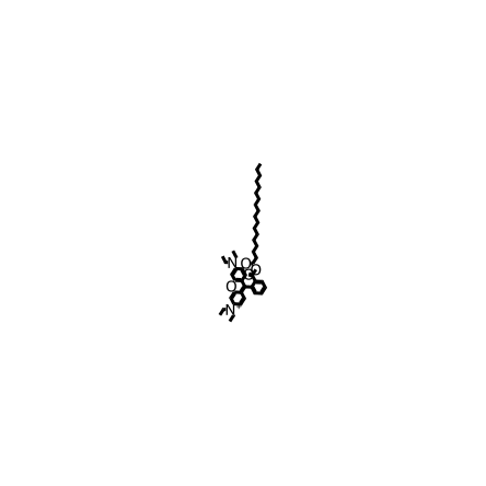 CCCCCCCCCCCCCCCCCC(=O)OC(=O)c1ccccc1-c1c2ccc(=[N+](CC)CC)cc-2oc2cc(N(CC)CC)ccc12